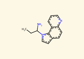 C[CH]C(N)n1ccc2ccc3ncccc3c21